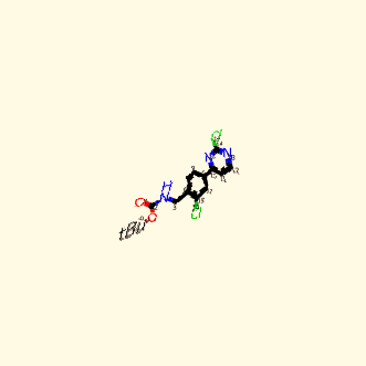 CC(C)(C)OC(=O)NCc1ccc(-c2ccnc(Cl)n2)cc1Cl